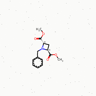 COC(=O)[C@@H]1C[C@@H](C(=O)OC)N1Cc1ccccc1